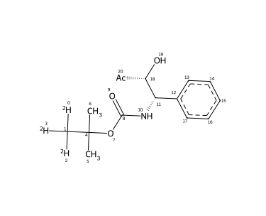 [2H]C([2H])([2H])C(C)(C)OC(=O)N[C@@H](c1ccccc1)[C@@H](O)C(C)=O